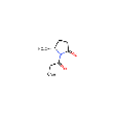 COCC(=O)N1C(=O)CC[C@H]1C(=O)O